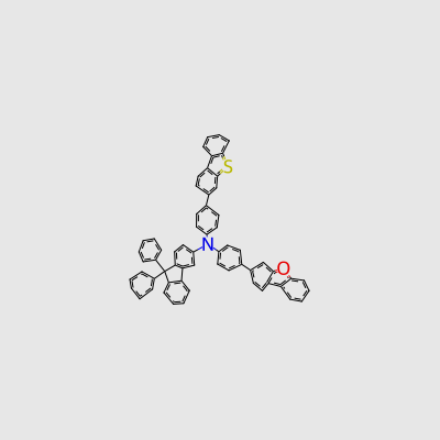 c1ccc(C2(c3ccccc3)c3ccccc3-c3cc(N(c4ccc(-c5ccc6c(c5)oc5ccccc56)cc4)c4ccc(-c5ccc6c(c5)sc5ccccc56)cc4)ccc32)cc1